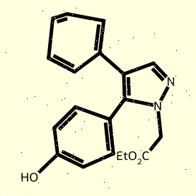 CCOC(=O)Cn1ncc(-c2ccccc2)c1-c1ccc(O)cc1